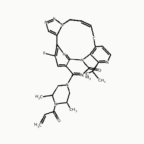 C=CC(=O)N1C(C)CN(c2nc(=O)n3c4nc(c(F)cc24)-c2cnnn2C/C=C\Cc2ccnc(C(C)C)c2-3)CC1C